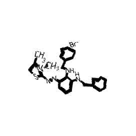 Cc1csc(N=Nc2cccc(NCc3ccccc3)c2NCc2ccccc2)[n+]1C.[Br-]